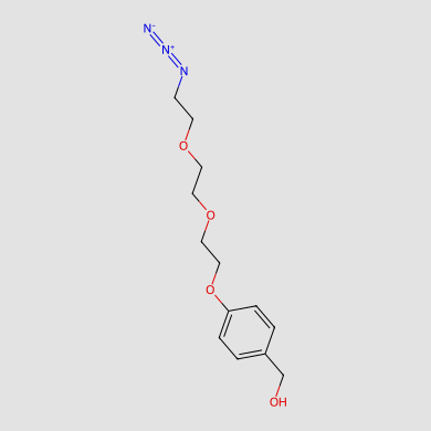 [N-]=[N+]=NCCOCCOCCOc1ccc(CO)cc1